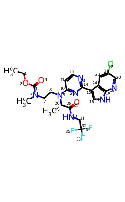 CCOC(=O)N(C)CCN(c1ccnc(-c2c[nH]c3ncc(Cl)cc23)n1)[C@@H](C)C(=O)NCC(F)(F)F